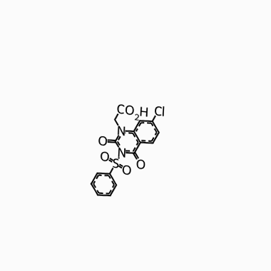 O=C(O)Cn1c(=O)n(S(=O)(=O)c2ccccc2)c(=O)c2ccc(Cl)cc21